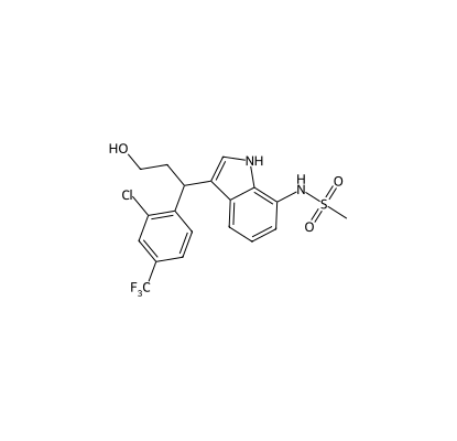 CS(=O)(=O)Nc1cccc2c(C(CCO)c3ccc(C(F)(F)F)cc3Cl)c[nH]c12